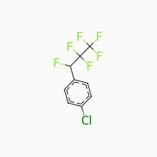 FC(c1ccc(Cl)cc1)C(F)(F)C(F)(F)F